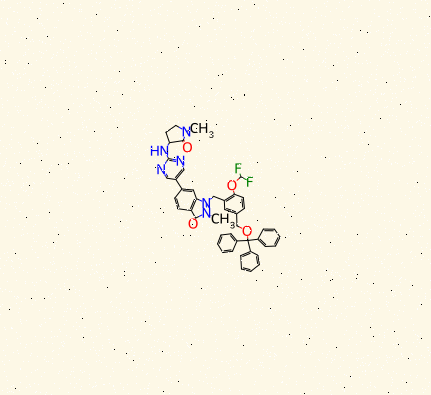 CN1CCC(Nc2ncc(-c3ccc4c(=O)n(C)n(Cc5cc(COC(c6ccccc6)(c6ccccc6)c6ccccc6)ccc5OC(F)F)c4c3)cn2)C1=O